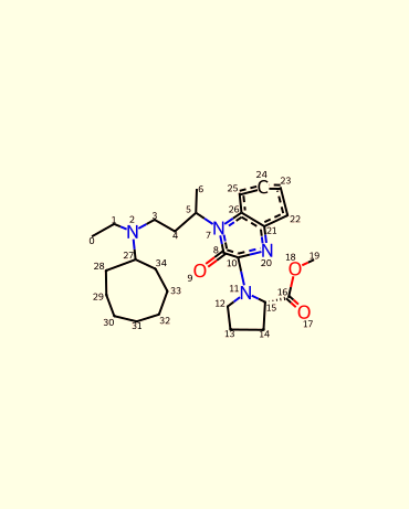 CCN(CCC(C)n1c(=O)c(N2CCC[C@H]2C(=O)OC)nc2ccccc21)C1CCCCCCC1